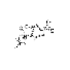 CC1CN(c2ccc([N+](=O)[O-])cc2Cl)C(=O)O1